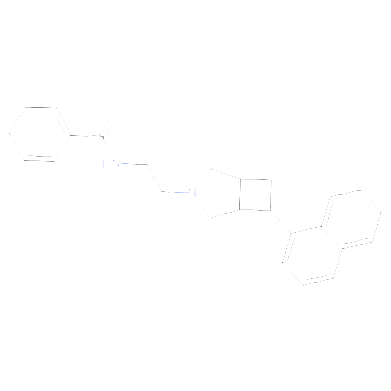 O=C(NCCN1CC2CC(c3cccc4ccccc34)C2C1)c1ccccc1